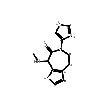 CNC1C(=O)N(c2c[nH]cn2)CCc2ccsc21